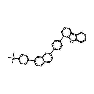 C[Si](C)(C)c1ccc(-c2ccc3ccc(-c4ccc(-c5cccc6c5oc5ccccc56)cc4)cc3c2)cc1